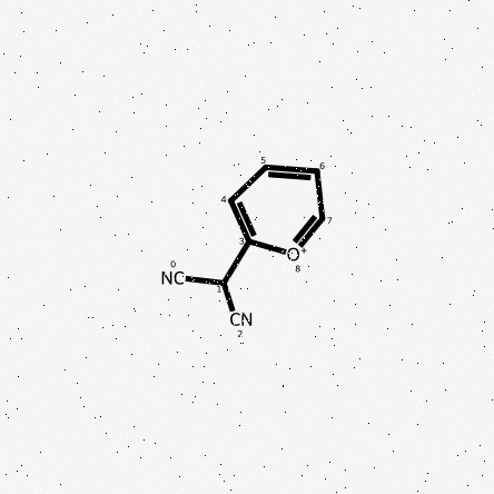 N#CC(C#N)c1cccc[o+]1